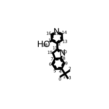 CC(C)(C)c1ccc2c(c1)N=C(c1ccncc1O)C2